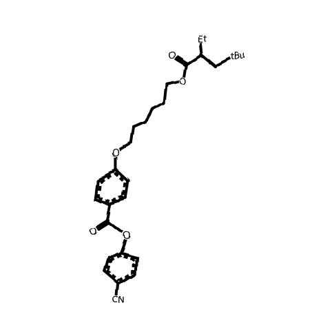 CCC(CC(C)(C)C)C(=O)OCCCCCCOc1ccc(C(=O)Oc2ccc(C#N)cc2)cc1